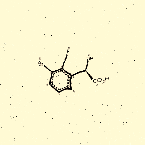 O=C(O)[C@H](O)c1cccc(Br)c1F